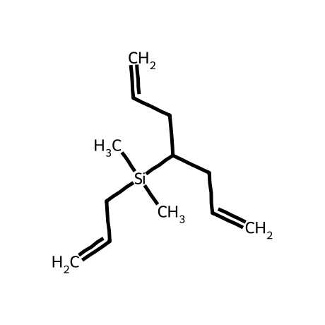 C=CCC(CC=C)[Si](C)(C)CC=C